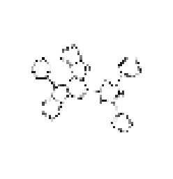 c1ccc(-c2cc(-c3cc4c5ccccc5n(-c5ccccc5)c4c4c3oc3ccccc34)nc(-c3ccccc3)n2)cc1